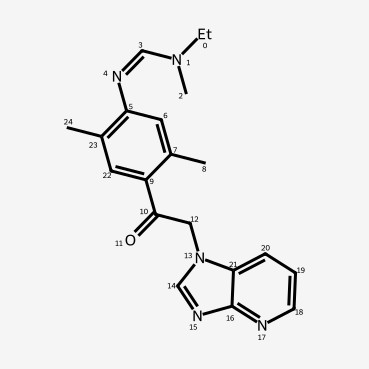 CCN(C)/C=N\c1cc(C)c(C(=O)Cn2cnc3ncccc32)cc1C